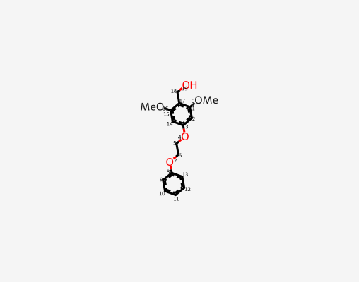 COc1cc(OCCOc2ccccc2)cc(OC)c1CO